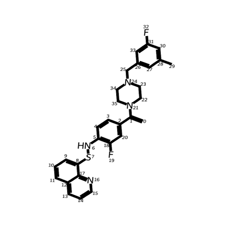 C=C(c1ccc(NSc2cccc3cccnc23)c(F)c1)N1CCN(Cc2cc(C)cc(F)c2)CC1